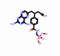 C#CCC(Cc1cnc2nc(N)nc(N)c2n1)c1ccc(C(=O)NCP(=O)(OCC)OCC)cc1